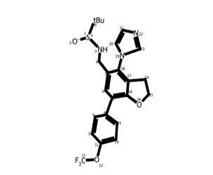 CC(C)(C)[S+]([O-])NCc1cc(-c2ccc(OC(F)(F)F)cc2)c2c(c1-n1ccnc1)CCO2